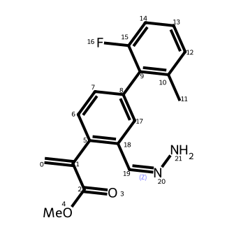 C=C(C(=O)OC)c1ccc(-c2c(C)cccc2F)cc1/C=N\N